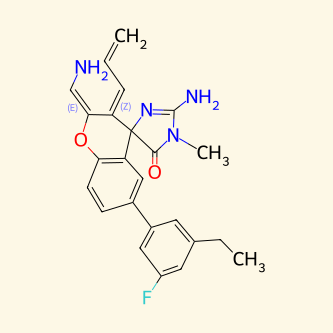 C=C/C=C1\C(=C/N)Oc2ccc(-c3cc(F)cc(CC)c3)cc2C12N=C(N)N(C)C2=O